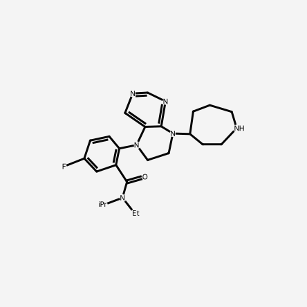 CCN(C(=O)c1cc(F)ccc1N1CCN(C2CCCNCC2)c2ncncc21)C(C)C